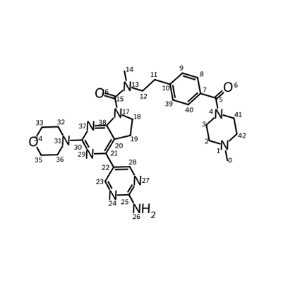 CN1CCN(C(=O)c2ccc(CCN(C)C(=O)N3CCc4c(-c5cnc(N)nc5)nc(N5CCOCC5)nc43)cc2)CC1